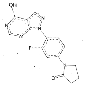 O=C1CCCN1c1ccc(-n2ncc3c(O)ncnc32)c(F)c1